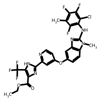 CCOC(=O)c1nc(-c2cc(Oc3ccc4c(c3)nc(Nc3c(F)c(C)c(F)c(F)c3Cl)n4C)ccn2)[nH]c1C(F)(F)F